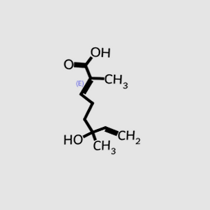 C=CC(C)(O)CC/C=C(\C)C(=O)O